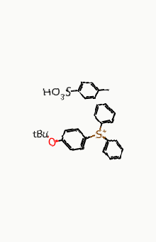 CC(C)(C)Oc1ccc([S+](c2ccccc2)c2ccccc2)cc1.Cc1ccc(S(=O)(=O)O)cc1